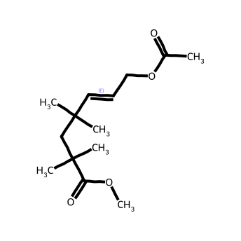 COC(=O)C(C)(C)CC(C)(C)/C=C/COC(C)=O